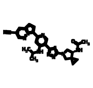 CC(=O)N[C@H]1CN(c2nnc(-c3cnc(-c4ccc5cc(C#N)cnn45)cc3NC(C)C)s2)CC12CC2